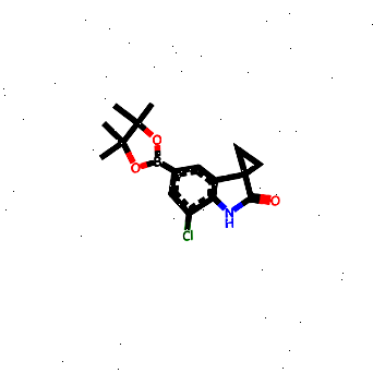 CC1(C)OB(c2cc(Cl)c3c(c2)C2(CC2)C(=O)N3)OC1(C)C